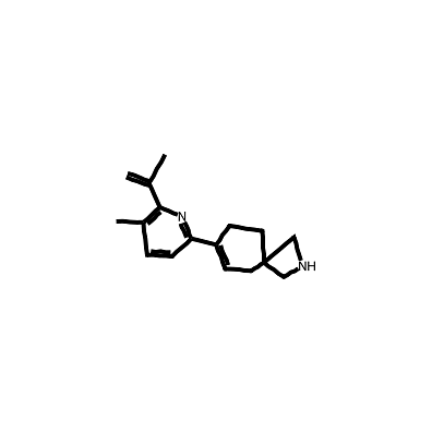 C=C(C)c1nc(C2=CCC3(CC2)CNC3)ccc1C